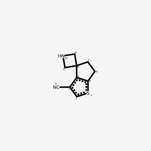 N#Cc1csc2c1C1(CC2)CNC1